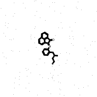 CCCC(C)Cc1ccccc1N=C1C(=O)c2cccc3cccc1c23